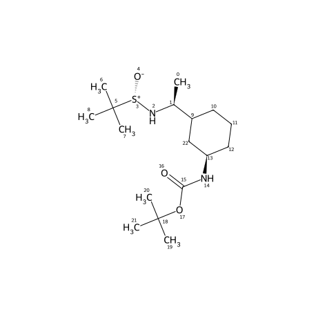 C[C@H](N[S@@+]([O-])C(C)(C)C)C1CCC[C@@H](NC(=O)OC(C)(C)C)C1